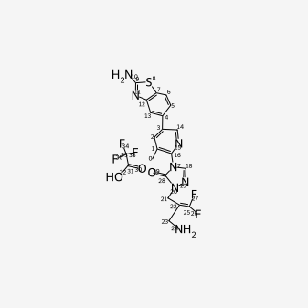 Cc1cc(-c2ccc3sc(N)nc3c2)cnc1-n1cnn(CC(CN)=C(F)F)c1=O.O=C(O)C(F)(F)F